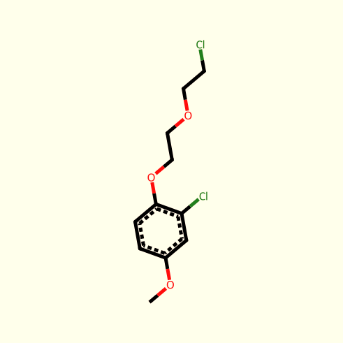 COc1ccc(OCCOCCCl)c(Cl)c1